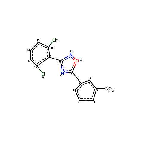 O=[N+]([O-])c1cccc(-c2nc(-c3c(Cl)cccc3Cl)no2)c1